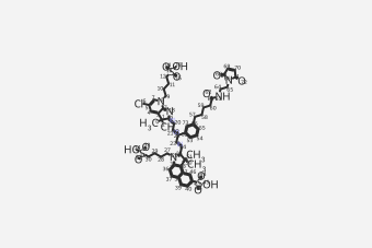 CC1(C)C2=CC(Cl)=CN(CCCCS(=O)(=O)O)C2=N/C1=C/C=C(/C=C/C1=[N+](CCCCS(=O)(=O)O)c2ccc3ccc(S(=O)(=O)O)cc3c2C1(C)C)c1cccc(CCCCC(=O)NCCN2C(=O)C=CC2=O)c1